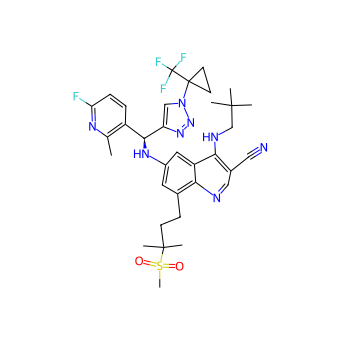 Cc1nc(F)ccc1[C@H](Nc1cc(CCC(C)(C)S(C)(=O)=O)c2ncc(C#N)c(NCC(C)(C)C)c2c1)c1cn(C2(C(F)(F)F)CC2)nn1